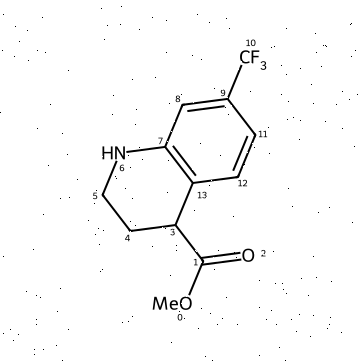 COC(=O)C1CCNc2cc(C(F)(F)F)ccc21